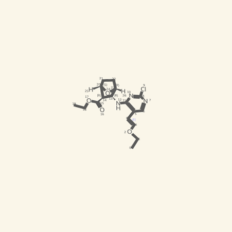 CCO/C=C/c1cnc(Cl)nc1N[C@@H]1[C@@H](C(=O)OCC)[C@@H]2CC[C@H]1O2